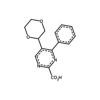 O=C(O)c1ncc(C2COCCO2)c(-c2ccccc2)n1